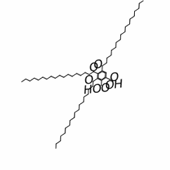 CCCCCCCCCCCCCCCCCC(=O)c1cc(C(=O)O)c(C(=O)O)c(C(=O)CCCCCCCCCCCCCCCCC)c1C(=O)CCCCCCCCCCCCCCCCC